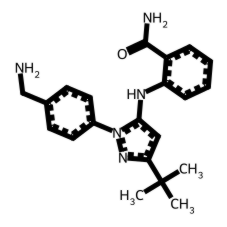 CC(C)(C)c1cc(Nc2ccccc2C(N)=O)n(-c2ccc(CN)cc2)n1